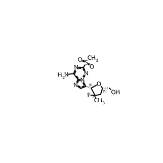 C[C@@]1(F)C[C@@H](CO)O[C@H]1c1cnc2c(N)nc(S(C)(=O)=O)nn12